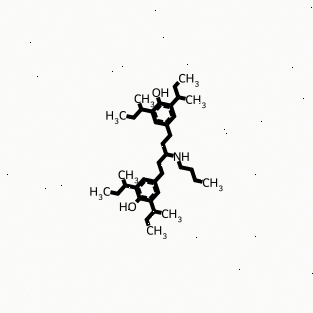 CCCCNC(CCc1cc(C(C)CC)c(O)c(C(C)CC)c1)CCc1cc(C(C)CC)c(O)c(C(C)CC)c1